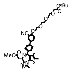 COC(=O)C[C@@H]1N=C(c2ccc(-c3ccc(OCCOCCOCCOCC(=O)OC(C)(C)C)c(C#N)c3)cc2)c2c(sc(C)c2C)-n2c(C)nnc21